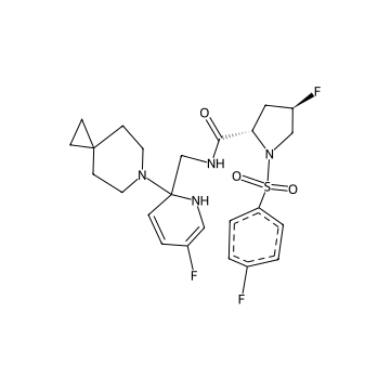 O=C(NCC1(N2CCC3(CC2)CC3)C=CC(F)=CN1)[C@@H]1C[C@@H](F)CN1S(=O)(=O)c1ccc(F)cc1